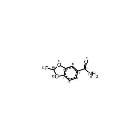 NC(=O)c1ccc2c(c1)OC(F)O2